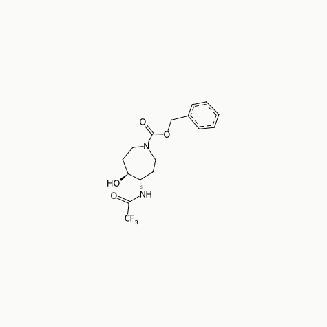 O=C(OCc1ccccc1)N1CC[C@H](NC(=O)C(F)(F)F)[C@@H](O)CC1